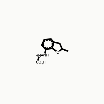 CC1Cc2cccc(NNC(=O)O)c2O1